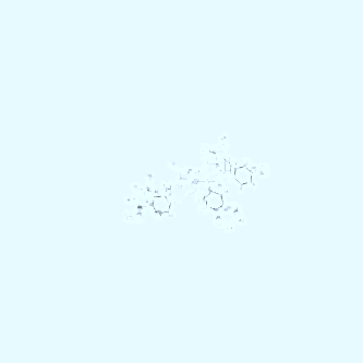 COC(=O)C1(Nc2cccc(Cl)c2)CCC2(CC1)c1cc3c(cc1C[C@@H]2C[C@@H](C)COc1ccnc2c1[C@H](C)CC[C@H]2O)OCCO3